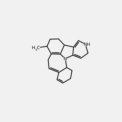 CC1CCC2C3=CNCC=C3N3C2=C1CC=C1C=CCCC13